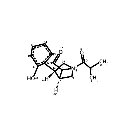 CC(C)C(=O)[N+]12C[C@H](C1C=O)[C@H](c1ccccc1O)C2